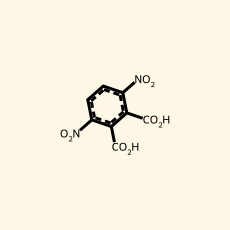 O=C(O)c1c([N+](=O)[O-])ccc([N+](=O)[O-])c1C(=O)O